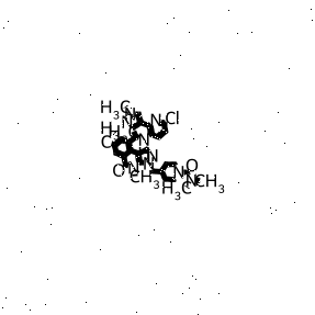 Cc1cc(C(C)Nc2ccc(Cl)nc2-c2cnn(C)c2)c2c(c1)c(=O)n(C)c1c2cnn1CC1CCN(C(=O)N(C)C)CC1